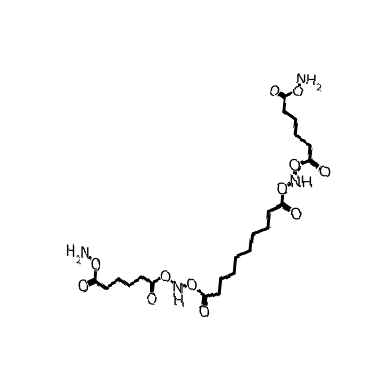 NOC(=O)CCCCC(=O)ONOC(=O)CCCCCCCCC(=O)ONOC(=O)CCCCC(=O)ON